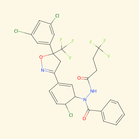 O=C(CCC(F)(F)F)NN(C(=O)c1ccccc1)C1C=C(C2=NOC(c3cc(Cl)cc(Cl)c3)(C(F)(F)F)C2)C=CC1Cl